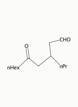 CCCCCCC(=O)CC(CC=O)CCC